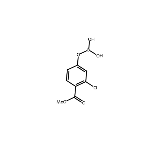 COC(=O)c1ccc(OB(O)O)cc1Cl